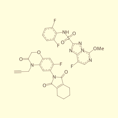 C#CCN1C(=O)COc2cc(F)c(N3C(=O)C4=C(CCCC4)C3=O)cc21.COc1ncc(F)c2nc(S(=O)(=O)Nc3c(F)cccc3F)nn12